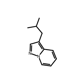 CC(C)Cc1cnn2ccccc12